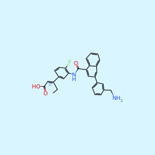 CC/C(=C\C(=O)O)c1ccc(F)c(NC(=O)c2cc(-c3cccc(CN)c3)cc3ccccc23)c1